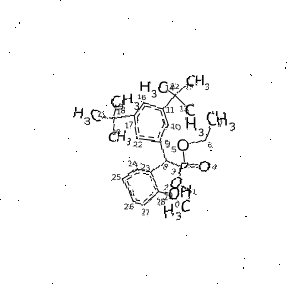 CCOP(=O)(OCC)C(c1cc(C(C)(C)C)cc(C(C)(C)C)c1)c1ccccc1O